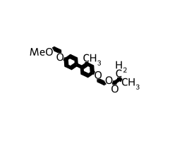 C=C(C)C(=O)O/C=C\Oc1ccc(-c2ccc(O/C=C\OC)cc2)c(C)c1